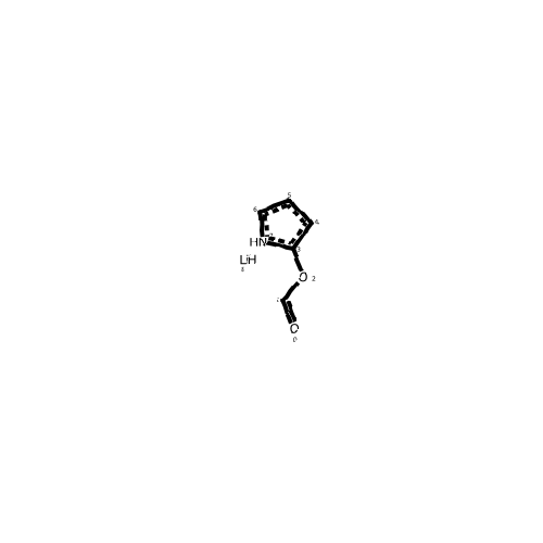 O=COc1ccc[nH]1.[LiH]